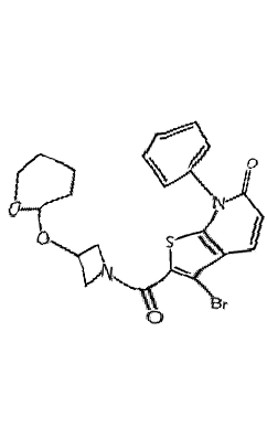 O=C(c1sc2c(ccc(=O)n2-c2ccccc2)c1Br)N1CC(OC2CCCCO2)C1